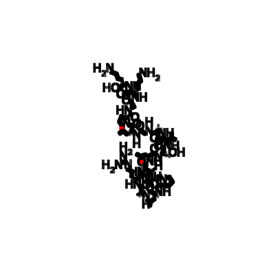 CC(C)C[C@H](NC(=O)[C@@H]1CCCN1)C(=O)N[C@@H](C)C(=O)N[C@@H](CCCN=C(N)N)C(=O)N[C@H](C(=O)N[C@@H](CC(C)C)C(=O)N[C@@H](CO)C(=O)N[C@H](C(=O)N[C@@H](C)C(=O)NCC(=O)N[C@@H](CC(C)C)C(=O)N1CCC[C@H]1C(=O)NCC(=O)N[C@@H](CCCCN)C(=O)N[C@@H](CCCCN)C(=O)O)C(C)C)[C@@H](C)O